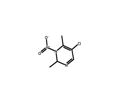 CC1=C(Cl)C=NC(C)N1[N+](=O)[O-]